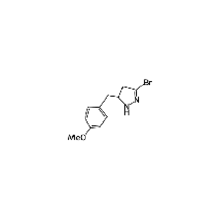 COc1ccc(CC2CC(Br)=NN2)cc1